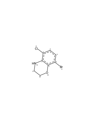 Clc1ccc(Br)c2c1NCCO2